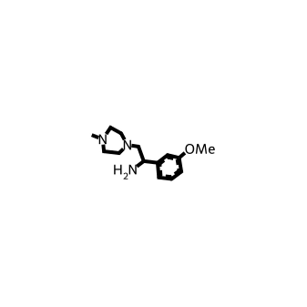 COc1cccc(C(N)CN2CCN(C)CC2)c1